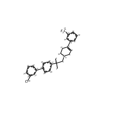 CC(C)(CN1CC=C(c2cccc(C(F)(F)F)c2)CC1)c1ccc(-c2cccc(Cl)c2)cc1